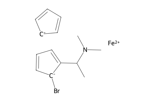 CC(c1ccc[c-]1Br)N(C)C.[Fe+2].c1cc[cH-]c1